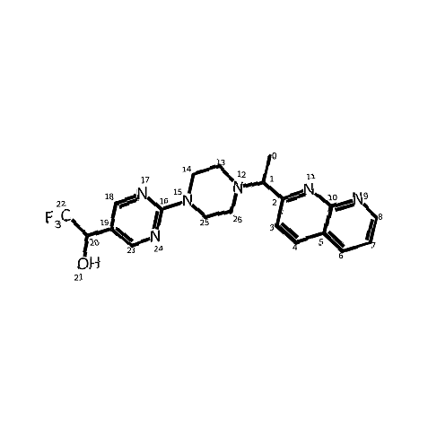 CC(c1ccc2cccnc2n1)N1CCN(c2ncc(C(O)C(F)(F)F)cn2)CC1